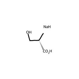 C[C@@H](CO)C(=O)O.[NaH]